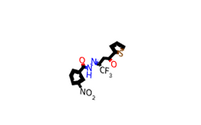 O=C(N/N=C(/CC(=O)c1cccs1)C(F)(F)F)c1cccc([N+](=O)[O-])c1